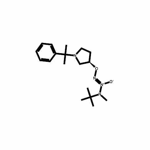 CN(/[N+]([O-])=N/O[C@@H]1CCN(C(C)(C)c2ccccc2)C1)C(C)(C)C